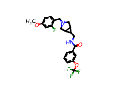 COc1ccc(CN2CC3C(CNC(=O)c4cccc(OC(F)(F)F)c4)C3C2)c(F)c1